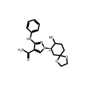 N#CC1CCC2(C[C@H]1n1cc(C(N)=O)c(Nc3ccccc3)n1)OCCO2